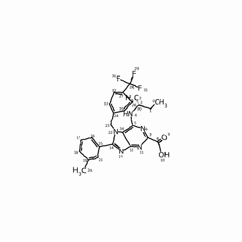 CC[C@@H](C)Nc1nc(C(=O)O)nc2nc(-c3cccc(C)c3)n(Cc3ccc(C(F)(F)F)cc3)c12